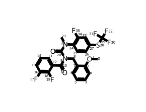 COc1ccccc1CN(C(=O)c1cccc(F)c1F)C(=O)N(C)c1ccc(SC(F)(F)F)cc1F